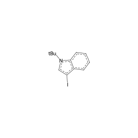 CC(C)(C)n1cc(I)c2ccccc21